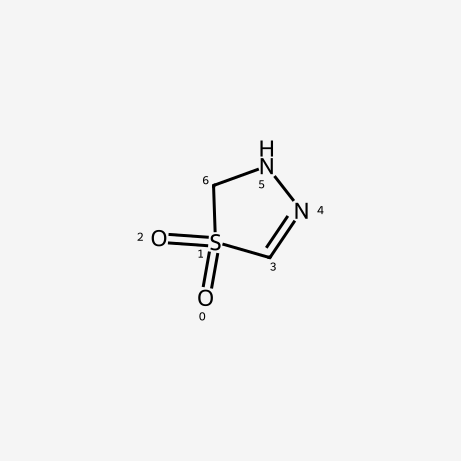 O=S1(=O)C=NNC1